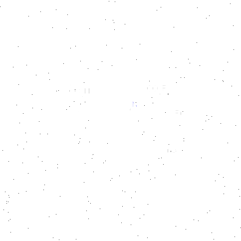 CCCCC(CC)CN(Cc1ccccc1C(=O)O)C(=O)OCC